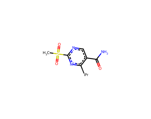 CC(C)c1nc(S(C)(=O)=O)ncc1C(N)=O